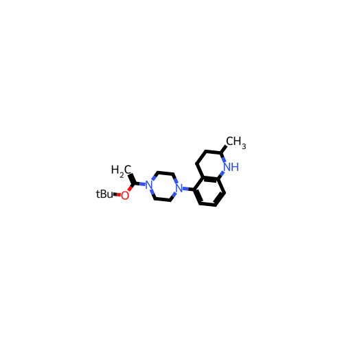 C=C(OC(C)(C)C)N1CCN(c2cccc3c2CCC(C)N3)CC1